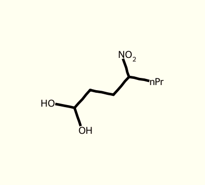 CCCC(CCC(O)O)[N+](=O)[O-]